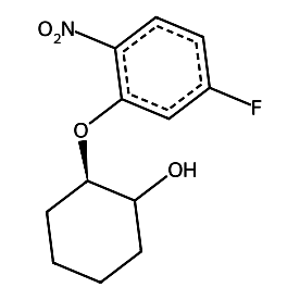 O=[N+]([O-])c1ccc(F)cc1O[C@@H]1CCCCC1O